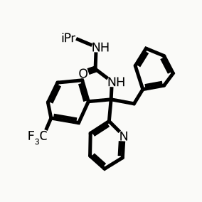 CC(C)NC(=O)NC(Cc1ccccc1)(c1cccc(C(F)(F)F)c1)c1ccccn1